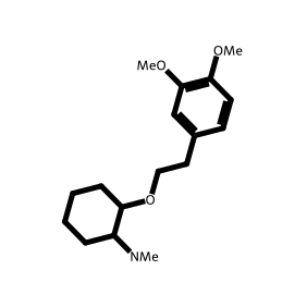 CNC1CCCCC1OCCc1ccc(OC)c(OC)c1